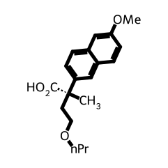 CCCOCC[C@@](C)(C(=O)O)c1ccc2cc(OC)ccc2c1